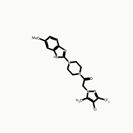 COc1ccc2nc(N3CCN(C(=O)Cn4nc(C(F)(F)F)c(Cl)c4C)CC3)[nH]c2c1